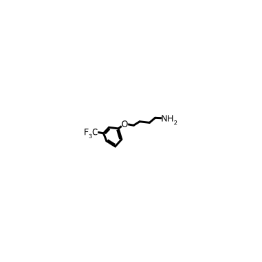 NCCCCOc1cccc(C(F)(F)F)c1